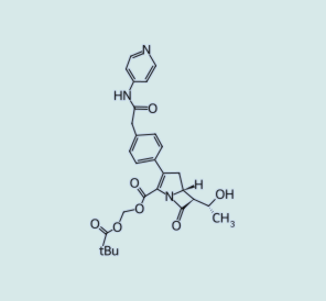 C[C@@H](O)[C@H]1C(=O)N2C(C(=O)OCOC(=O)C(C)(C)C)=C(c3ccc(CC(=O)Nc4ccncc4)cc3)C[C@H]12